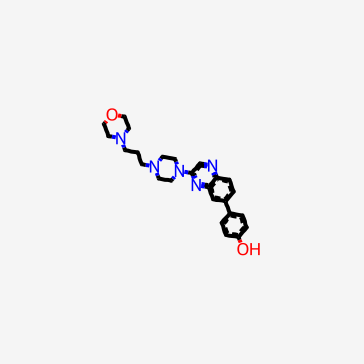 Oc1ccc(-c2ccc3ncc(N4CCN(CCCN5CCOCC5)CC4)nc3c2)cc1